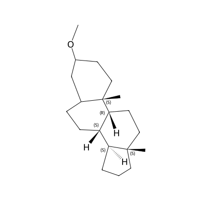 COC1CC[C@@]2(C)C(CC[C@@H]3[C@H]2CC[C@]2(C)CCC[C@@H]32)C1